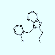 CCCc1nc2ccccc2n1Cc1ccccc1Cl